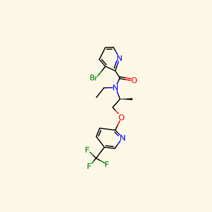 CCN(C(=O)c1ncccc1Br)[C@@H](C)COc1ccc(C(F)(F)F)cn1